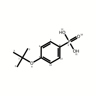 CC(C)(C)Oc1ccc(P(=O)(O)O)cc1